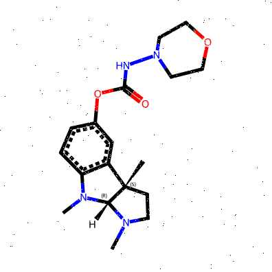 CN1CC[C@@]2(C)c3cc(OC(=O)NN4CCOCC4)ccc3N(C)[C@@H]12